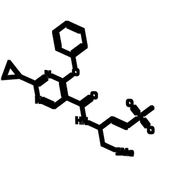 CSCC(/C=C/S(C)(=O)=O)NC(=O)c1cnc(C2CC2)nc1Oc1ccccc1